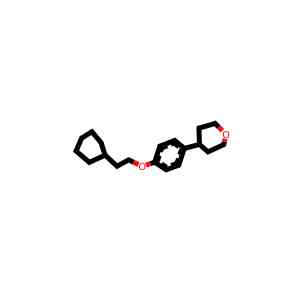 c1cc(C2CCOCC2)ccc1OCCC1CCCCC1